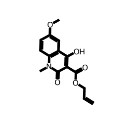 C=CCOC(=O)c1c(O)c2cc(OC)ccc2n(C)c1=O